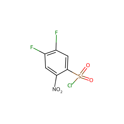 O=[N+]([O-])c1cc(F)c(F)cc1S(=O)(=O)Cl